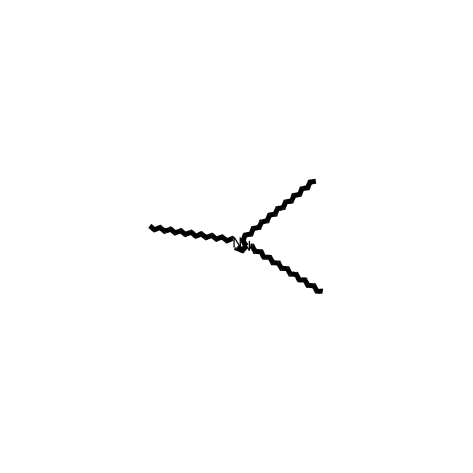 CCCCCCCCCCCCCCCCCCC1N(CCCCCCCCCCCCCCCCC)C=CN1CCCCCCCCCCCCCCCCC